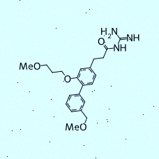 COCCCOc1cc(CCC(=O)NC(=N)N)ccc1-c1cccc(COC)c1